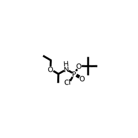 CCOC(C)NP(=O)(Cl)OC(C)(C)C